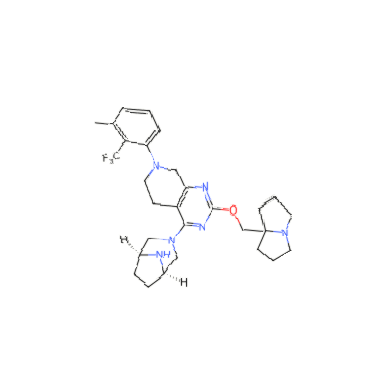 Cc1cccc(N2CCc3c(nc(OCC45CCCN4CCC5)nc3N3C[C@H]4CC[C@@H](C3)N4)C2)c1C(F)(F)F